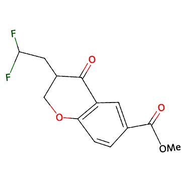 COC(=O)c1ccc2c(c1)C(=O)C(CC(F)F)CO2